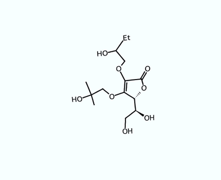 CCC(O)COC1=C(OCC(C)(C)O)[C@@H]([C@@H](O)CO)OC1=O